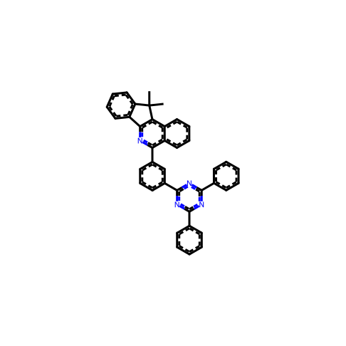 CC1(C)c2ccccc2-c2nc(-c3cccc(-c4nc(-c5ccccc5)nc(-c5ccccc5)n4)c3)c3ccccc3c21